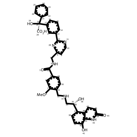 COc1cc(C(=O)NCc2ccnc(-c3cccc([C@](O)(C(=O)O)c4ccccc4)c3)n2)ccc1CNC[C@H](O)c1ccc(O)c2[nH]c(=O)ccc12